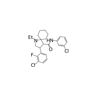 CCN1CC(c2cccc(Cl)c2F)C(C(=O)Nc2cccc(Cl)c2)C12CCCCC2